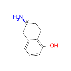 N[C@H]1CCc2c(O)cccc2C1